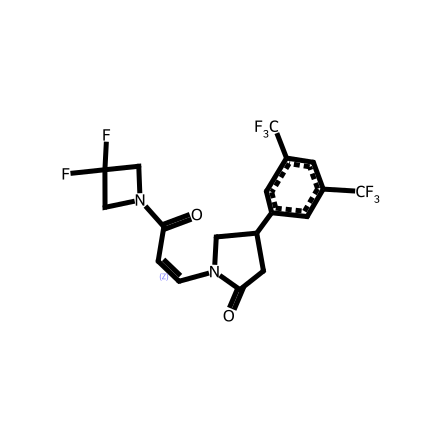 O=C1CC(c2cc(C(F)(F)F)cc(C(F)(F)F)c2)CN1/C=C\C(=O)N1CC(F)(F)C1